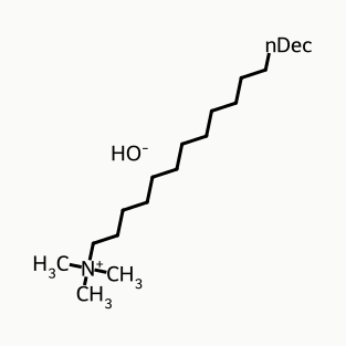 CCCCCCCCCCCCCCCCCCCCCC[N+](C)(C)C.[OH-]